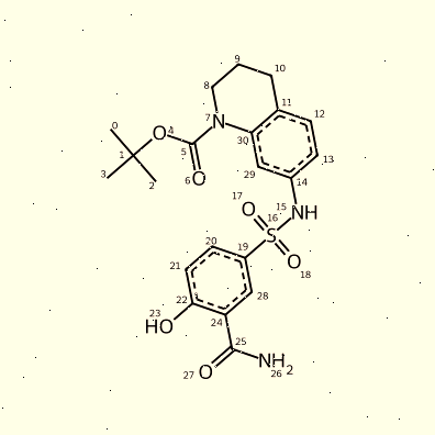 CC(C)(C)OC(=O)N1CCCc2ccc(NS(=O)(=O)c3ccc(O)c(C(N)=O)c3)cc21